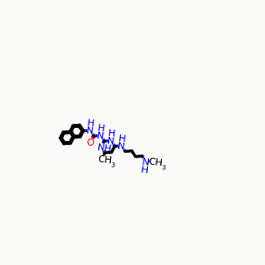 CNCCCCNC1CC(C)NC(NC(=O)Nc2ccc3ccccc3c2)N1